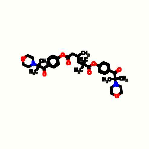 CC(CC(=O)Oc1ccc(C(=O)C(C)(C)N2CCOCC2)cc1)CC(C)(C)C(=O)Oc1ccc(C(=O)C(C)(C)N2CCOCC2)cc1